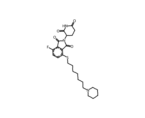 O=C1CCC(N2C(=O)c3c(F)ccc(SCCCCCCCN4CCCCC4)c3C2=O)C(=O)N1